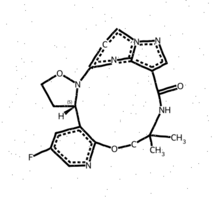 CC1(C)COc2ncc(F)cc2[C@@H]2CCON2c2ccn3ncc(c3n2)C(=O)N1